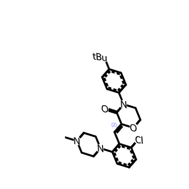 CN1CCN(c2cccc(Cl)c2/C=C2\OCCN(c3ccc(C(C)(C)C)cc3)C2=O)CC1